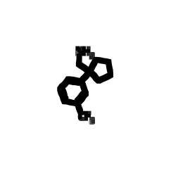 NCC1(c2cccc(C(F)(F)F)c2)CCCC1